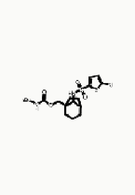 CCCCNC(=O)OCC12CCCC(CC1)C2NS(=O)(=O)c1ccc(Cl)s1